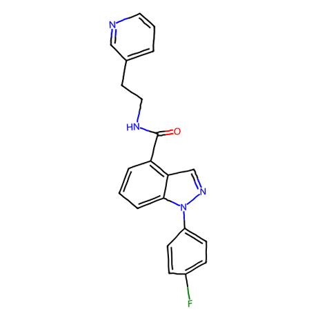 O=C(NCCc1cccnc1)c1cccc2c1cnn2-c1ccc(F)cc1